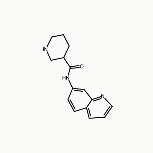 O=C(Nc1ccc2cccnc2c1)C1CCCNC1